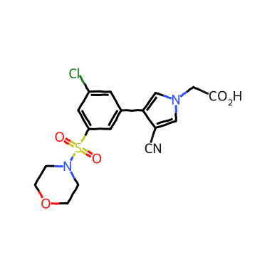 N#Cc1cn(CC(=O)O)cc1-c1cc(Cl)cc(S(=O)(=O)N2CCOCC2)c1